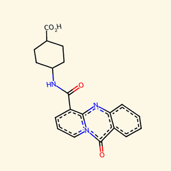 O=C(NC1CCC(C(=O)O)CC1)c1cccn2c(=O)c3ccccc3nc12